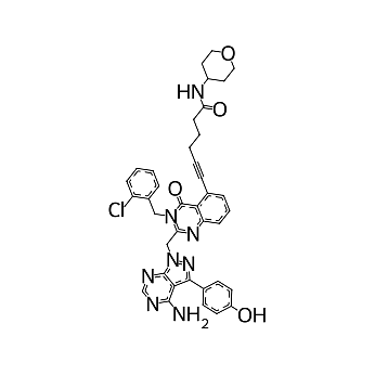 Nc1ncnc2c1c(-c1ccc(O)cc1)nn2Cc1nc2cccc(C#CCCCC(=O)NC3CCOCC3)c2c(=O)n1Cc1ccccc1Cl